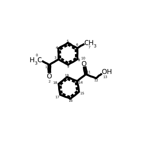 CC(=O)c1ccc(C)cc1.O=C(CO)c1ccccc1